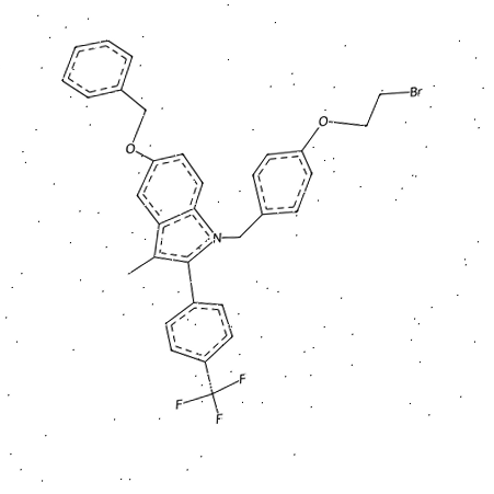 Cc1c(-c2ccc(C(F)(F)F)cc2)n(Cc2ccc(OCCBr)cc2)c2ccc(OCc3ccccc3)cc12